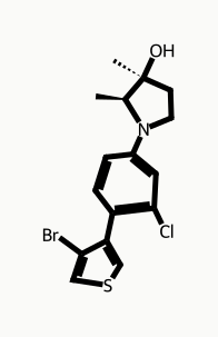 C[C@@H]1N(c2ccc(-c3cscc3Br)c(Cl)c2)CC[C@]1(C)O